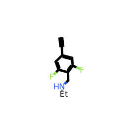 C#Cc1cc(F)c(CNCC)c(F)c1